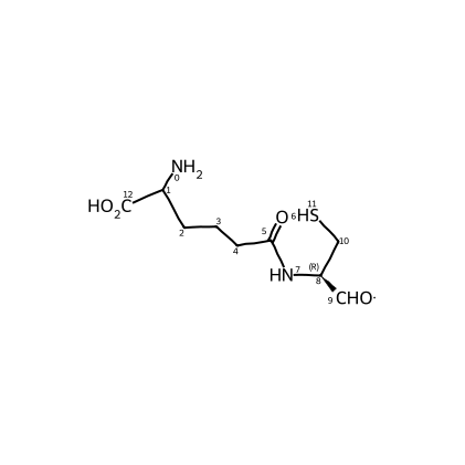 NC(CCCC(=O)N[C@H]([C]=O)CS)C(=O)O